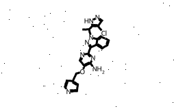 CC(c1[nH]ncc1Cl)n1nc(-c2ncc(OCc3ccncc3)c(N)n2)c2ccccc21